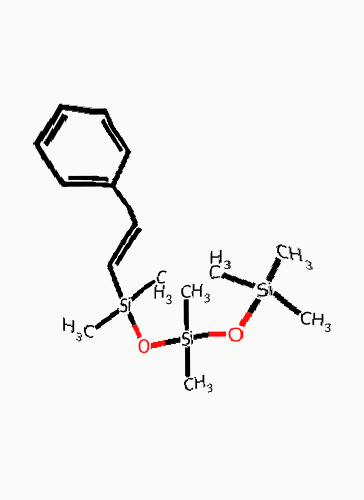 C[Si](C)(C)O[Si](C)(C)O[Si](C)(C)C=Cc1ccccc1